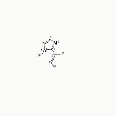 C/C=C(\C)c1nccn1C